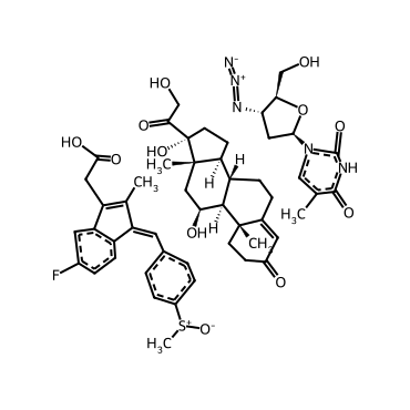 CC1=C(CC(=O)O)c2cc(F)ccc2/C1=C\c1ccc([S+](C)[O-])cc1.C[C@]12CCC(=O)C=C1CC[C@@H]1[C@@H]2[C@@H](O)C[C@@]2(C)[C@H]1CC[C@]2(O)C(=O)CO.Cc1cn([C@H]2C[C@H](N=[N+]=[N-])[C@@H](CO)O2)c(=O)[nH]c1=O